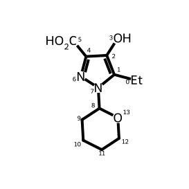 CCc1c(O)c(C(=O)O)nn1C1CCCCO1